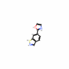 c1coc(-c2ccc3cnsc3c2)n1